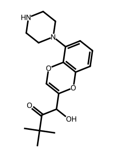 CC(C)(C)C(=O)C(O)C1=COc2c(cccc2N2CCNCC2)O1